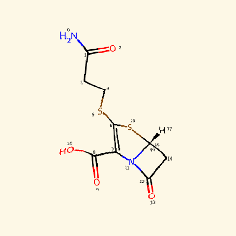 NC(=O)CCSC1=C(C(=O)O)N2C(=O)C[C@H]2S1